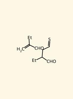 C=C(C=O)CC.CCC(C=O)CC=S